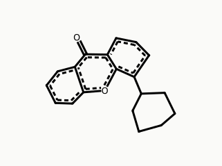 O=c1c2ccccc2oc2c(C3CCCCC3)cccc12